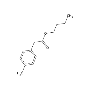 CCCCOC(=O)Cc1ccc(C)cc1